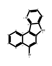 Brc1cc2[nH]c3cccnc3c2c2ccccc12